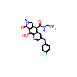 CN1Cc2c(c(O)c3ncc(Cc4ccc(F)cc4)cc3c2C(=O)NCC(F)(F)F)C1=O